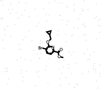 COC(=O)c1ccc(Br)c(OCC2CC2)n1